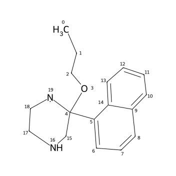 CCCOC1(c2cccc3ccccc23)CNCC[N]1